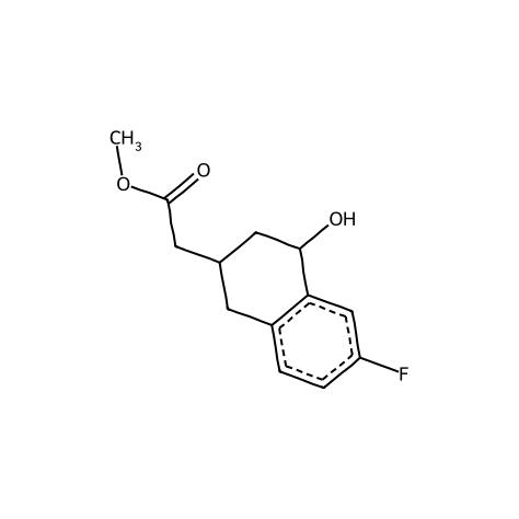 COC(=O)CC1Cc2ccc(F)cc2C(O)C1